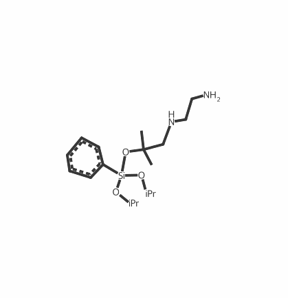 CC(C)O[Si](OC(C)C)(OC(C)(C)CNCCN)c1ccccc1